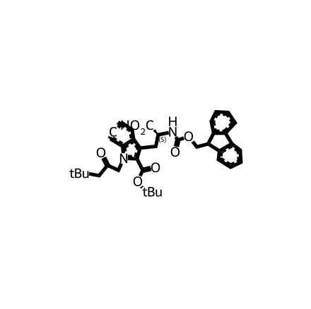 CC(C)(C)CC(=O)Cn1c(C(=O)OC(C)(C)C)c(C[C@H](NC(=O)OCC2c3ccccc3-c3ccccc32)C(=O)O)c2ccccc21